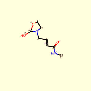 CCNC(=O)/C=C/CN1CCOC1O